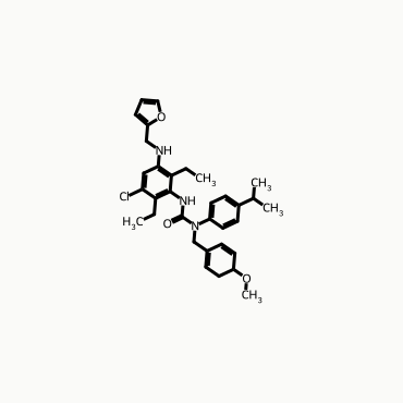 CCc1c(Cl)cc(NCc2ccco2)c(CC)c1NC(=O)N(CC1=CCC(OC)C=C1)c1ccc(C(C)C)cc1